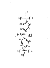 FC(F)(F)c1ccc(C(S)(Cl)c2ccc(C(F)(F)F)cc2)cc1